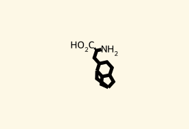 N[C@@H](CC1CCC2CC3CC2C1C3)C(=O)O